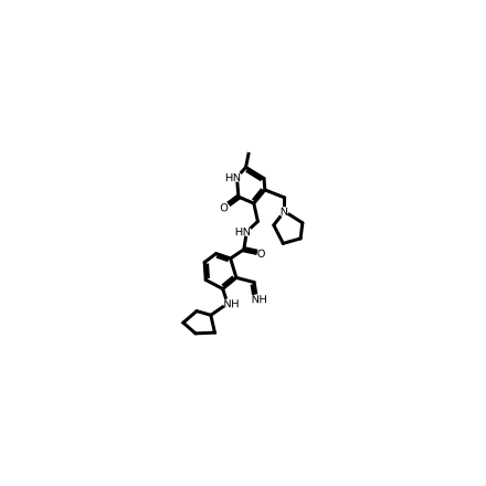 Cc1cc(CN2CCCC2)c(CNC(=O)c2cccc(NC3CCCC3)c2C=N)c(=O)[nH]1